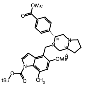 COC(=O)c1ccc([C@@H]2CN3CCC[C@H]3CN2Cc2c(OC)cc(C)c3c2ccn3C(=O)OC(C)(C)C)cc1